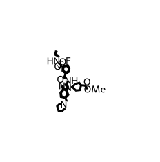 C=CCNS(=O)(=O)c1cc(C(=O)Nc2nc3ccc(CN4CCCCC4)cc3n2C2CCC(C(=O)OC)CC2)ccc1F